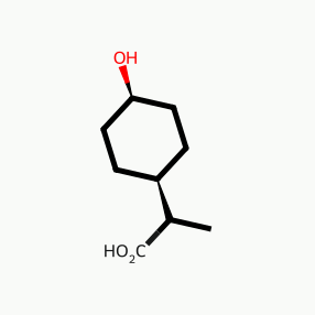 CC(C(=O)O)[C@H]1CC[C@@H](O)CC1